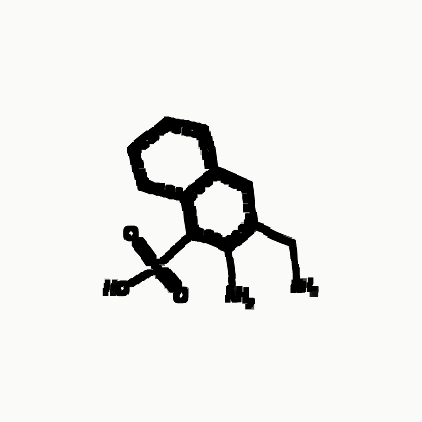 NCc1cc2ccccc2c(S(=O)(=O)O)c1N